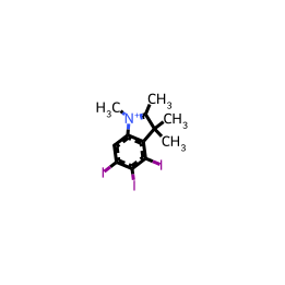 CC1=[N+](C)c2cc(I)c(I)c(I)c2C1(C)C